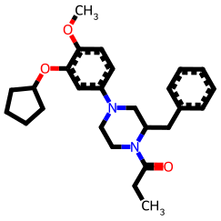 CCC(=O)N1CCN(c2ccc(OC)c(OC3CCCC3)c2)CC1Cc1ccccc1